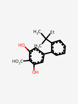 CCC(C)(C)c1ccccc1-c1cc(O)c(C(=O)O)c(O)c1